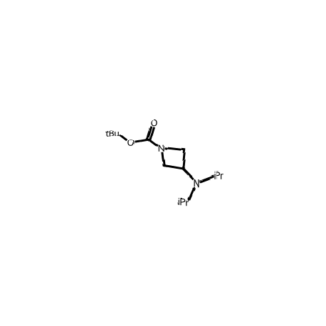 CC(C)N(C(C)C)C1CN(C(=O)OC(C)(C)C)C1